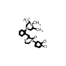 CC1CN(c2ccccc2C=C2SCCN(c3ccc(Cl)c(Cl)c3)C2=O)CC(C)N1C